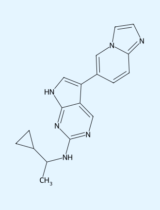 CC(Nc1ncc2c(-c3ccc4nccn4c3)c[nH]c2n1)C1CC1